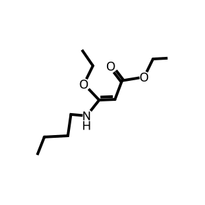 CCCCNC(=CC(=O)OCC)OCC